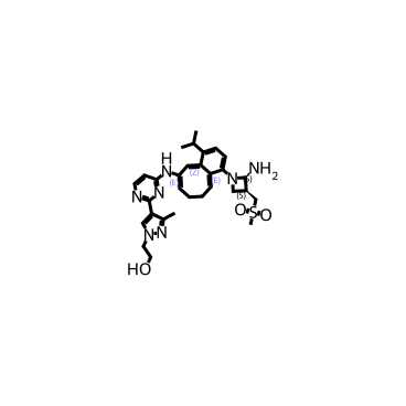 Cc1nn(CCO)cc1-c1nccc(NC2=C\CC/C=c3/c(N4C[C@H](CS(C)(=O)=O)[C@H]4N)ccc(C(C)C)/c3=C/2)n1